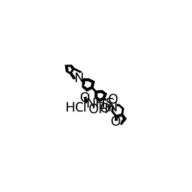 Cl.O=CNO.O=S(=O)(c1ccc(-c2ccc(N3C=C4C=CC=C4C3)cc2)cc1)N1CCc2ccoc2C1